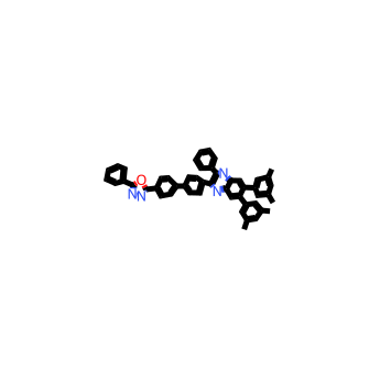 Cc1cc(C)cc(-c2cc3nc(-c4ccccc4)c(-c4ccc(-c5ccc(-c6nnc(-c7ccccc7)o6)cc5)cc4)nc3cc2-c2cc(C)cc(C)c2)c1